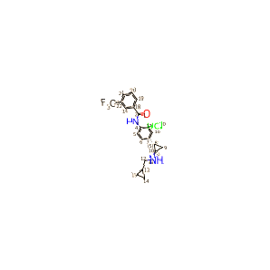 Cl.O=C(Nc1ccc([C@@H]2C[C@H]2NCC2CC2)cc1)c1cccc(C(F)(F)F)c1